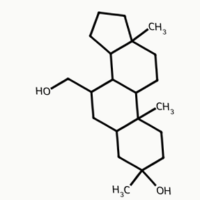 CC1(O)CCC2(C)C(CC(CO)C3C4CCCC4(C)CCC32)C1